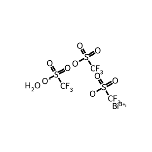 O.O=S(=O)([O-])C(F)(F)F.O=S(=O)([O-])C(F)(F)F.O=S(=O)([O-])C(F)(F)F.[Bi+3]